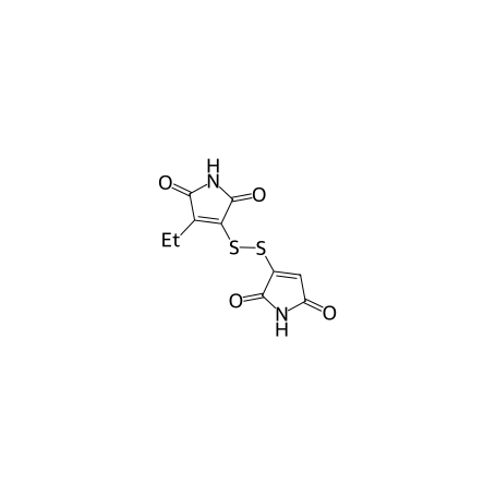 CCC1=C(SSC2=CC(=O)NC2=O)C(=O)NC1=O